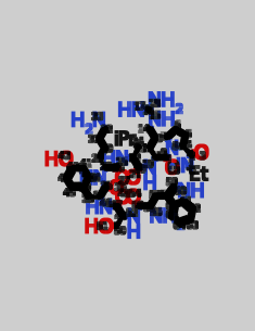 CCNC(=O)[C@@H]1CCCN1C(=O)[C@H](CCCNC(=N)N)NC(=O)[C@H](CC(C)C)NC(=O)[C@@H](CCCCN)NC(=O)[C@H](Cc1ccc(O)cc1)NC(=O)[C@H](CO)NC(=O)[C@@H](N)Cc1c[nH]c2ccccc12